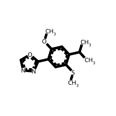 COc1cc(C(C)C)c(SC)cc1-c1nnco1